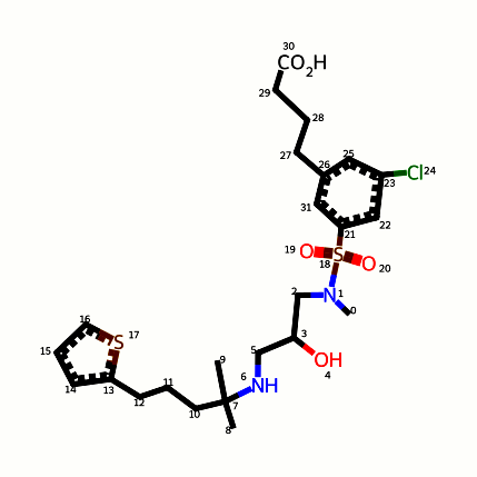 CN(CC(O)CNC(C)(C)CCCc1cccs1)S(=O)(=O)c1cc(Cl)cc(CCCC(=O)O)c1